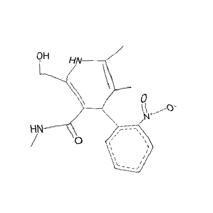 CNC(=O)C1=C(CO)NC(C)=C(C)C1c1ccccc1[N+](=O)[O-]